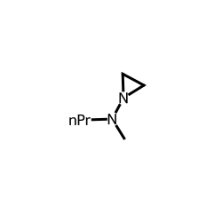 CCCN(C)N1CC1